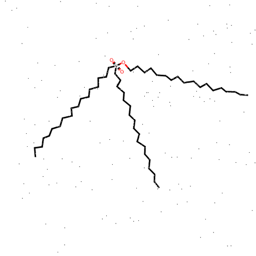 CCCCCCCCCCCCCCCCCC[O][V](=[O])(=[O])([CH2]CCCCCCCCCCCCCCCCC)[CH2]CCCCCCCCCCCCCCCCC